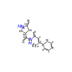 C=C(/C=C(\CC)C1C=CC=CC1)NC(=C)C1CNC(=C)C1